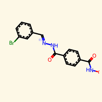 O=C(NO)c1ccc(C(=O)N/N=C/c2cccc(Br)c2)cc1